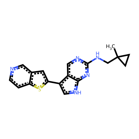 CC1(CNc2ncc3c(-c4cc5cnccc5s4)c[nH]c3n2)CC1